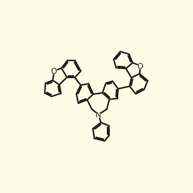 c1ccc(N2Cc3cc(-c4cccc5oc6ccccc6c45)ccc3-c3cc(-c4cccc5oc6ccccc6c45)ccc3C2)cc1